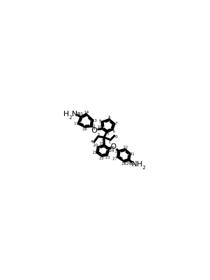 CCC(CC)(c1ccccc1Oc1ccc(N)cc1)c1ccccc1Oc1ccc(N)cc1